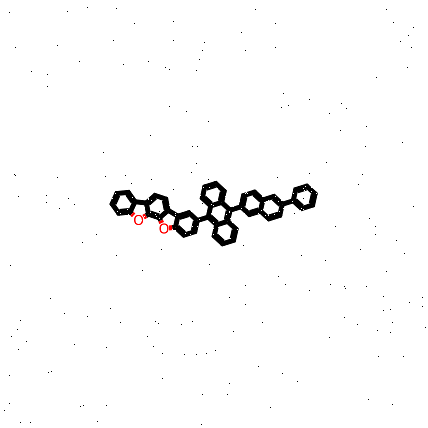 c1ccc(-c2ccc3cc(-c4c5ccccc5c(-c5ccc6oc7c(ccc8c9ccccc9oc87)c6c5)c5ccccc45)ccc3c2)cc1